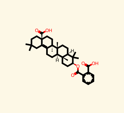 CC1(C)CC[C@]2(C(=O)O)CC[C@]3(C)C(=C2C1)CC[C@@H]1[C@@]2(C)CC[C@H](OC(=O)c4ccccc4C(=O)O)C(C)(C)[C@@H]2CC[C@]13C